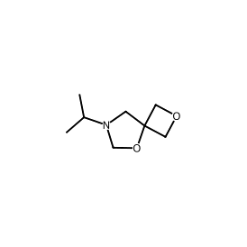 CC(C)N1COC2(COC2)C1